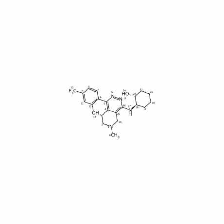 CN1CCc2c(-c3ccc(C(F)(F)F)cc3O)nnc(N[C@@H]3CCCC[C@H]3O)c2C1